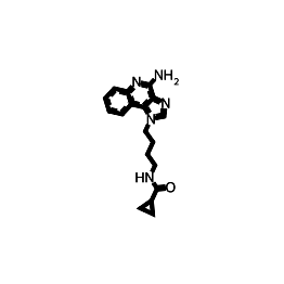 Nc1nc2ccccc2c2c1ncn2CCCCNC(=O)C1CC1